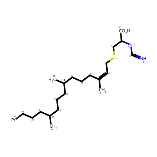 CC(=CCSCC(NC=N)C(=O)O)CCCC(C)CCCC(C)CCCC(C)C